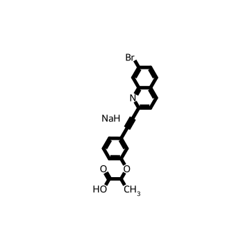 CC(Oc1cccc(C#Cc2ccc3ccc(Br)cc3n2)c1)C(=O)O.[NaH]